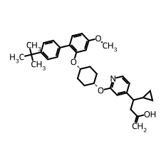 C=C(O)CC(c1ccnc(O[C@H]2CC[C@@H](Oc3cc(OC)ccc3-c3ccc(C(C)(C)C)cc3)CC2)c1)C1CC1